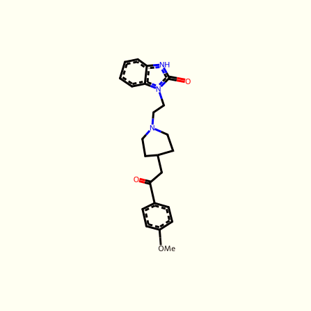 COc1ccc(C(=O)CC2CCN(CCn3c(=O)[nH]c4ccccc43)CC2)cc1